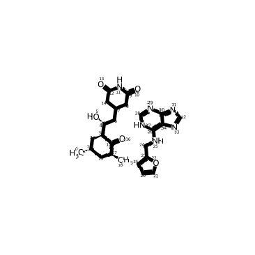 C[C@@H]1C[C@@H]([C@H](O)CC2CC(=O)NC(=O)C2)C(=O)[C@@H](C)C1.c1coc(CNc2[nH]cnc3ncnc2-3)c1